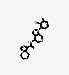 O=C(NC1COCc2c1cnn2-c1cccc(O)c1Cl)c1ncn2c1CCCC2